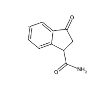 NC(=O)C1CC(=O)c2c[c]ccc21